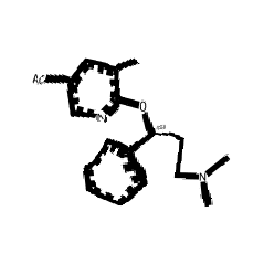 CC(=O)c1cnc(O[C@@H](CCN(C)C)c2ccccc2)c(C)c1